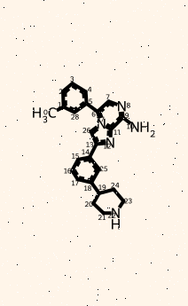 Cc1cccc(-c2cnc(N)c3nc(-c4cccc(C5CCNCC5)c4)cn23)c1